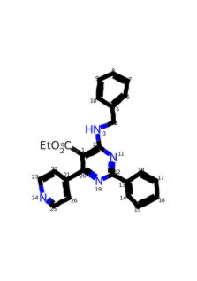 CCOC(=O)c1c(NCc2ccccc2)nc(-c2ccccc2)nc1-c1ccncc1